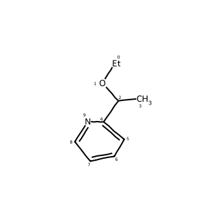 CCOC(C)c1ccccn1